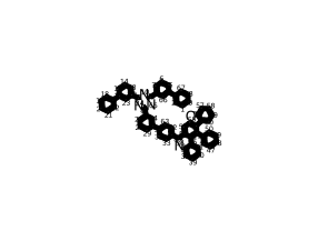 c1ccc(-c2cccc(-c3nc(-c4cccc(-c5ccccc5)c4)nc(-c4cccc(-c5ccc(-c6nc7ccccc7c7c(-c8ccccc8)c8c(cc67)oc6ccccc68)cc5)c4)n3)c2)cc1